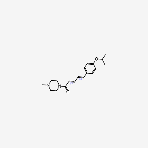 CC(C)Oc1ccc(/C=C/C=C/C(=O)N2CCN(C)CC2)cc1